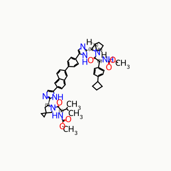 COC(=O)N[C@H](C(=O)N1CC2(CC2)C[C@H]1c1ncc(-c2ccc3cc(-c4ccc(-c5cnc([C@@H]6[C@H]7CC[C@H](C7)N6C(=O)[C@H](NC(=O)OC)c6ccc(C7CCC7)cc6)[nH]5)cc4)ccc3c2)[nH]1)C(C)C